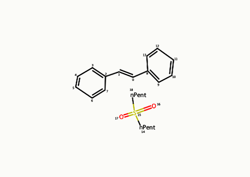 C(=Cc1ccccc1)c1ccccc1.CCCCCS(=O)(=O)CCCCC